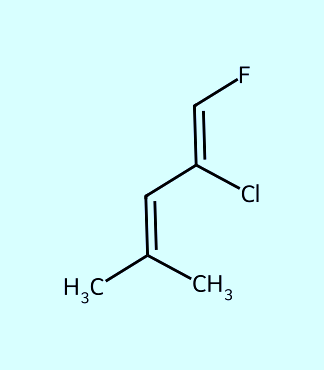 CC(C)=C/C(Cl)=C/F